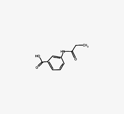 CCC(=O)Nc1cccc(C(=O)O)c1